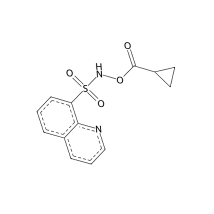 O=C(ONS(=O)(=O)c1cccc2cccnc12)C1CC1